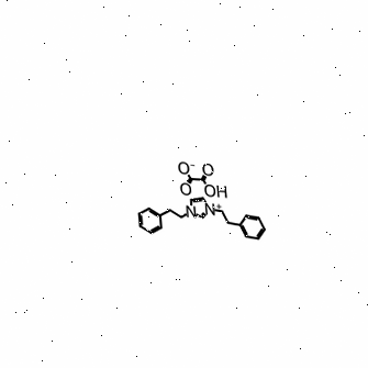 O=C([O-])C(=O)O.c1ccc(CCn2cc[n+](CCc3ccccc3)c2)cc1